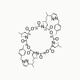 CC(C)C[C@H]1C(=O)O[C@H](Cc2ccc(Cn3ccc(C(C)C)n3)cc2)C(=O)N(C)[C@@H](CC(C)C)C(=O)O[C@H](C)C(=O)N(C)[C@@H](CC(C)C)C(=O)O[C@H](Cc2ccc(Cn3ccc(C(C)C)n3)cc2)C(=O)N(C)[C@@H](CC(C)C)C(=O)O[C@H](C)C(=O)N1C